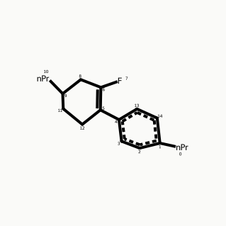 CCCc1ccc(C2=C(F)CC(CCC)CC2)cc1